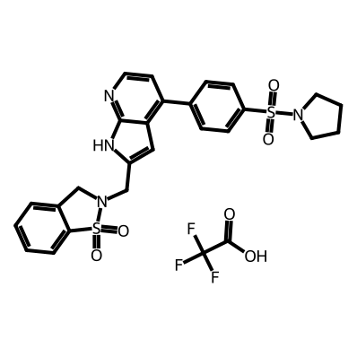 O=C(O)C(F)(F)F.O=S(=O)(c1ccc(-c2ccnc3[nH]c(CN4Cc5ccccc5S4(=O)=O)cc23)cc1)N1CCCC1